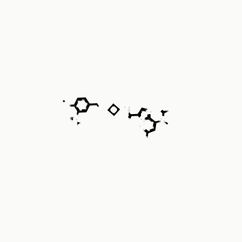 COc1ccc(CO[C@H]2C[C@@H](NC(=O)c3cnc4c(N(C)C(=O)O)cc(Cl)nn34)C2)cc1[N+](=O)[O-]